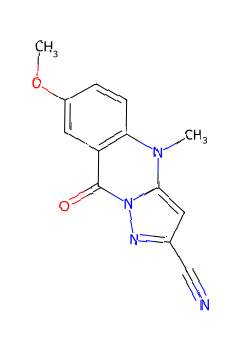 COc1ccc2c(c1)c(=O)n1nc(C#N)cc1n2C